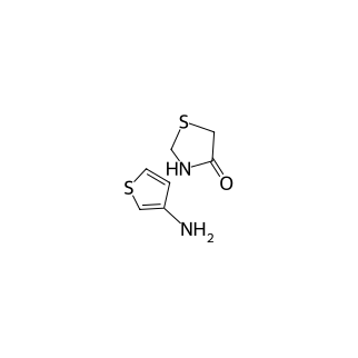 Nc1ccsc1.O=C1CSCN1